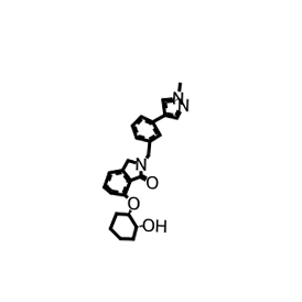 Cn1cc(-c2cccc(CN3Cc4cccc(O[C@@H]5CCCC[C@H]5O)c4C3=O)c2)cn1